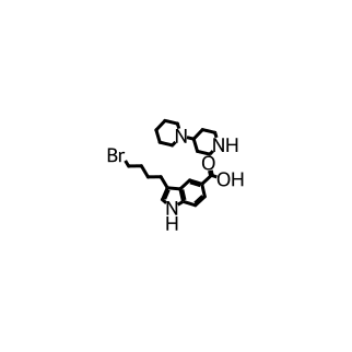 C1CCN(C2CCNCC2)CC1.O=C(O)c1ccc2[nH]cc(CCCCBr)c2c1